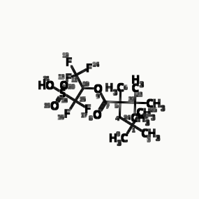 CC(C)(C)CC(C)(C(=O)OC(C(F)(F)F)C(F)(F)S(=O)(=O)O)C(C)(C)C